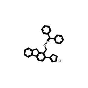 C1=CCC(c2ccc3c(c2C[O][Zr+]=[C](c2ccccc2)c2ccccc2)Cc2ccccc2-3)=C1.[Cl-]